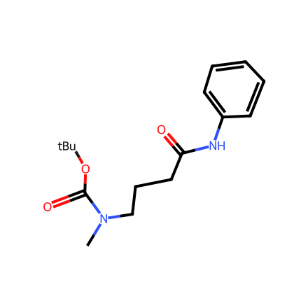 CN(CCCC(=O)Nc1ccccc1)C(=O)OC(C)(C)C